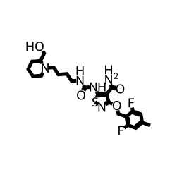 Cc1cc(F)c(COc2nsc(NC(=O)NCCCCN3CCCCC3CO)c2C(N)=O)c(F)c1